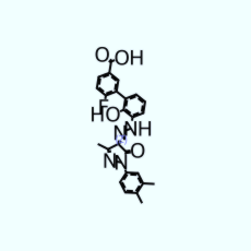 CC1=NN(c2ccc(C)c(C)c2)C(=O)/C1=N\Nc1cccc(-c2cc(C(=O)O)ccc2F)c1O